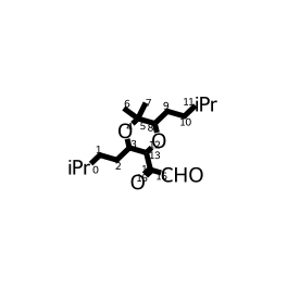 CC(C)CCC1OC(C)(C)C(CCC(C)C)OC1C(=O)C=O